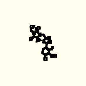 O=C1N(CC(F)(F)F)C(=O)C2(CC2)N1Cc1nnc(-c2ccc(Cl)c(O)c2F)s1